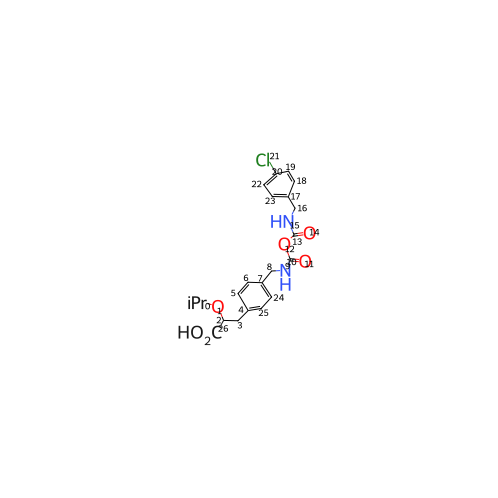 CC(C)OC(Cc1ccc(CNC(=O)OC(=O)NCc2ccc(Cl)cc2)cc1)C(=O)O